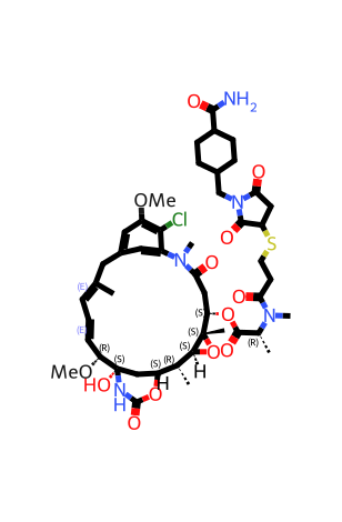 COc1cc2cc(c1Cl)N(C)C(=O)C[C@H](OC(=O)[C@@H](C)N(C)C(=O)CCSC1CC(=O)N(CC3CCC(C(N)=O)CC3)C1=O)[C@]1(C)O[C@H]1[C@H](C)[C@@H]1C[C@@](O)(NC(=O)O1)[C@H](OC)/C=C/C=C(\C)C2